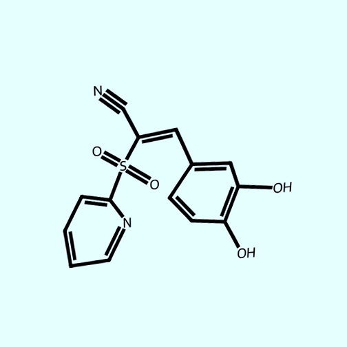 N#C/C(=C/c1ccc(O)c(O)c1)S(=O)(=O)c1ccccn1